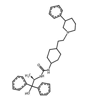 C[C@@H](NC(=O)NC1CCC(CCN2CCCC(c3ccccc3)C2)CC1)C(O)(c1ccccc1)c1ccccc1